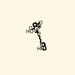 Cn1nc(Cl)c2cccc(C(C(=O)O)N3CC(OCCCCCc4ccc5c(n4)NCCC5)C3)c21